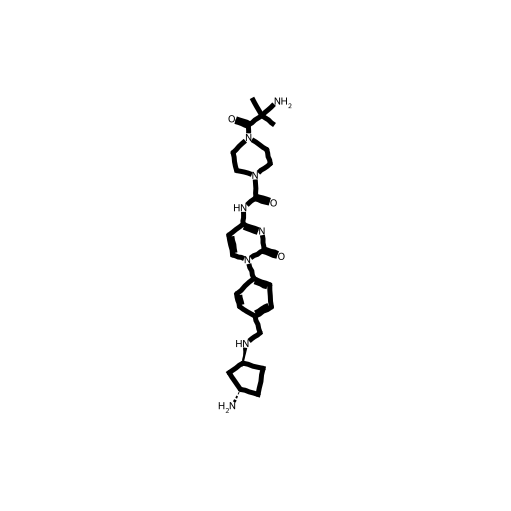 CC(C)(N)C(=O)N1CCN(C(=O)Nc2ccn(-c3ccc(CN[C@H]4CC[C@H](N)C4)cc3)c(=O)n2)CC1